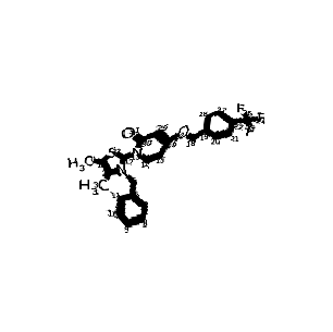 CC1=C(C)N(Cc2ccccc2)C(n2ccc(OCc3ccc(C(F)(F)F)cc3)cc2=O)S1